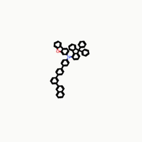 c1ccc(C2(c3ccccc3)c3ccccc3-c3c(N(c4ccc(-c5ccc(-c6cccc(-c7ccc8ccccc8c7)c6)cc5)cc4)c4ccc5c(c4)oc4ccccc45)cccc32)cc1